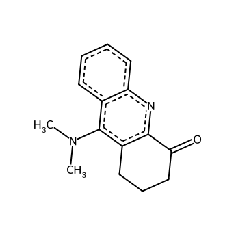 CN(C)c1c2c(nc3ccccc13)C(=O)CCC2